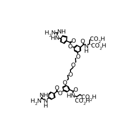 N=C(N)Nc1ccc(C(=O)Oc2cc(OCCOCCOCCOc3cc(OC(=O)c4ccc(NC(=N)N)cc4)cc(C(=O)N[C@H](CC(=O)O)C(=O)O)c3)cc(C(=O)N[C@H](CC(=O)O)C(=O)O)c2)cc1